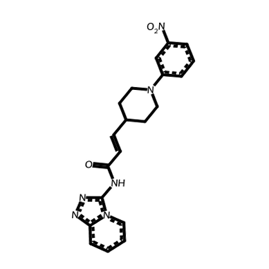 O=C(C=CC1CCN(c2cccc([N+](=O)[O-])c2)CC1)Nc1nnc2ccccn12